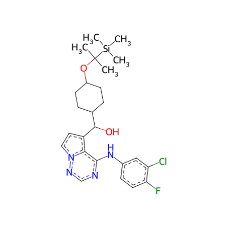 CC(C)(OC1CCC(C(O)c2ccn3ncnc(Nc4ccc(F)c(Cl)c4)c23)CC1)[Si](C)(C)C